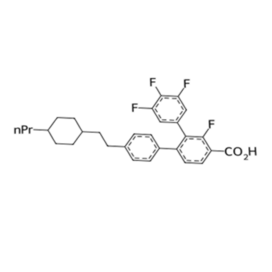 CCCC1CCC(CCc2ccc(-c3ccc(C(=O)O)c(F)c3-c3cc(F)c(F)c(F)c3)cc2)CC1